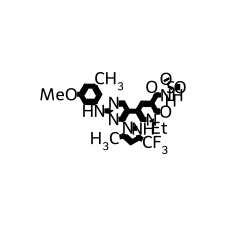 CCn1cc(-c2cnc(Nc3cc(C)cc(OC)c3)nc2N2NC(C(F)(F)F)C=C2C)cc(C(=O)N[SH](=O)=O)c1=O